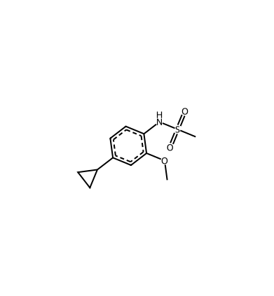 COc1cc(C2CC2)ccc1NS(C)(=O)=O